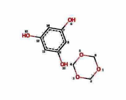 C1OCOCO1.Oc1cc(O)cc(O)c1